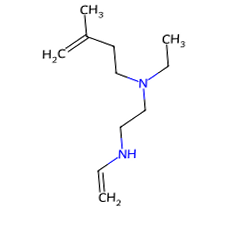 C=CNCCN(CC)CCC(=C)C